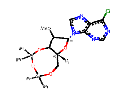 COC1C2O[Si](C(C)C)(C(C)C)O[Si](C(C)C)(C(C)C)OC[C@H]2O[C@H]1n1cnc2c(Cl)ncnc21